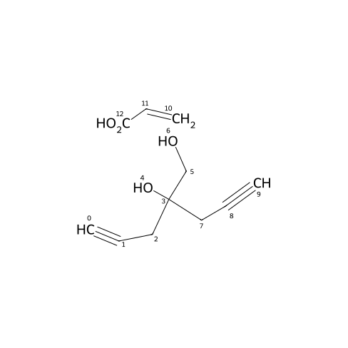 C#CCC(O)(CO)CC#C.C=CC(=O)O